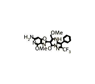 COCc1[nH]c2c(-c3ccccc3)c(C(F)(F)F)nn2c(=O)c1-c1nc2c(OC)nc(N)cc2o1